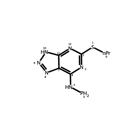 CCCSc1nc(NP)c2nn[nH]c2n1